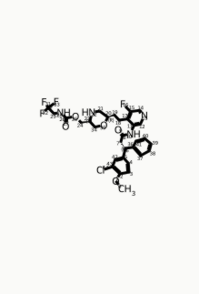 COc1ccc([C@H](CC(=O)Nc2cncc(F)c2CC[C@@H]2CN[C@H](COC(=O)NCC(F)(F)F)CO2)c2ccccc2)cc1Cl